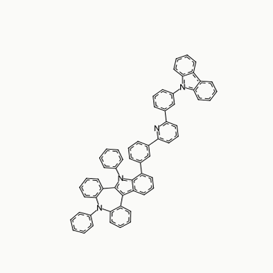 c1ccc(N2c3ccccc3-c3c(n(-c4ccccc4)c4c(-c5cccc(-c6cccc(-c7cccc(-n8c9ccccc9c9ccccc98)c7)n6)c5)cccc34)-c3ccccc32)cc1